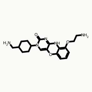 NCCOc1cccc2c1Nc1nc(=O)n(C3CCC(CN)CC3)cc1O2